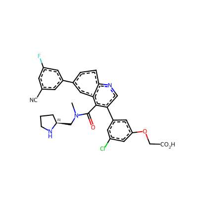 CN(C[C@@H]1CCCN1)C(=O)c1c(-c2cc(Cl)cc(OCC(=O)O)c2)cnc2ccc(-c3cc(F)cc(C#N)c3)cc12